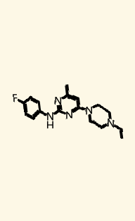 CCN1CCN(c2cc(C)nc(Nc3ccc(F)cc3)n2)CC1